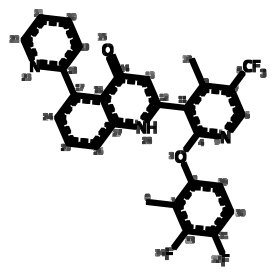 Cc1c(Oc2ncc(C(F)(F)F)c(C)c2-c2cc(=O)c3c(-c4ccccn4)cccc3[nH]2)ccc(F)c1F